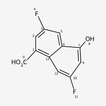 O=C(O)c1cc(F)cc2c(O)cc(F)cc12